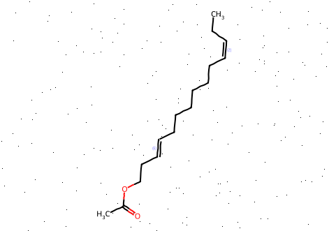 CC/C=C\CCCCCC/C=C/CCOC(C)=O